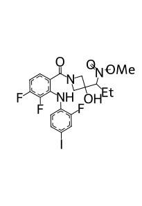 CCC([N+](=O)OC)C1(O)CN(C(=O)c2ccc(F)c(F)c2Nc2ccc(I)cc2F)C1